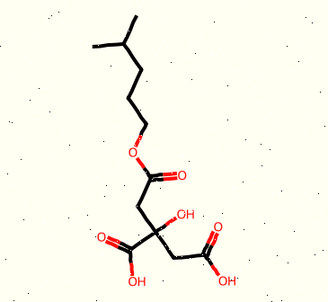 CC(C)CCCOC(=O)CC(O)(CC(=O)O)C(=O)O